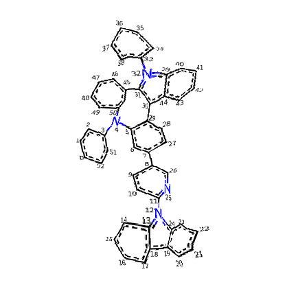 c1ccc(N2c3cc(-c4ccc(-n5c6ccccc6c6ccccc65)nc4)ccc3-c3c(n(-c4ccccc4)c4ccccc34)-c3ccccc32)cc1